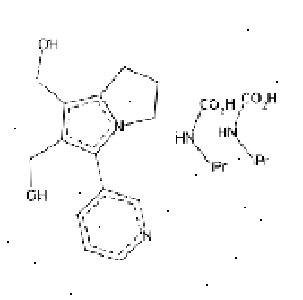 CC(C)NC(=O)O.CC(C)NC(=O)O.OCc1c(CO)c(-c2cccnc2)n2c1CCC2